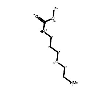 CNCCOCCCNC(=O)OC(C)C